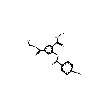 CCOC(=O)c1cc(OC(C)c2ccc(C)cc2)c(C(=O)NC)[nH]1